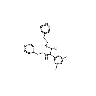 Cc1cc(C)cc(C(NCCc2ccncc2)C(=O)NCCc2ccncc2)c1